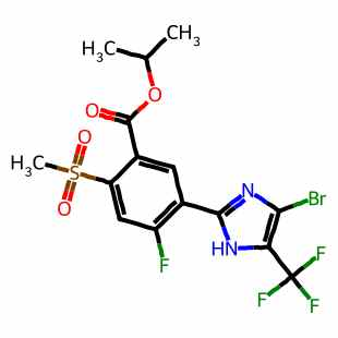 CC(C)OC(=O)c1cc(-c2nc(Br)c(C(F)(F)F)[nH]2)c(F)cc1S(C)(=O)=O